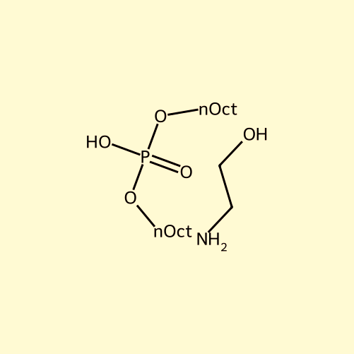 CCCCCCCCOP(=O)(O)OCCCCCCCC.NCCO